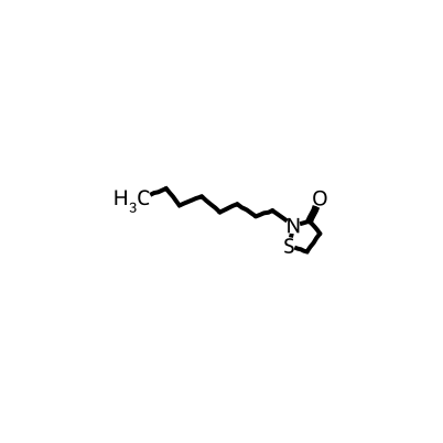 CCCCCCCCN1SCCC1=O